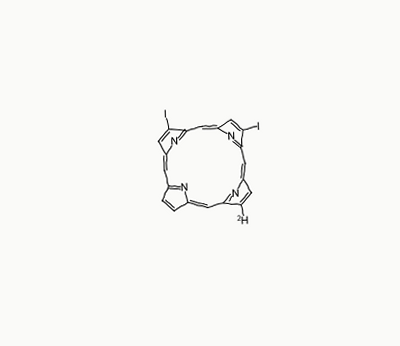 [2H]C1=CC2=CC3=NC(=CC4=NC(=CC5=NC(=CC1=N2)C=C5)C=C4I)C=C3I